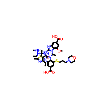 CCc1nc(C)sc1C(=O)Nc1nc2cc(C(=O)O)cc(OC)c2n1C(C)n1c(NC(C)(C)N(CC)NC)nc2cc(C(=O)O)cc(SCCCN3CCOCC3)c21